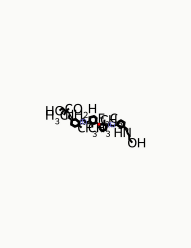 Cc1c(/C=C/c2cc(CNCCO)ccc2C(F)(F)F)cccc1-c1cccc(/C=C/c2cc(CNC(C)(CO)C(=O)O)ccc2C(F)(F)F)c1C